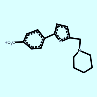 O=C(O)c1ccc(-c2ccc(CN3CCCCC3)s2)cc1